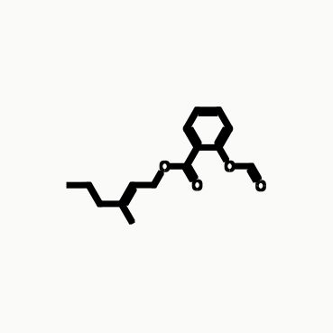 CCC/C(C)=C/COC(=O)c1ccccc1OC=O